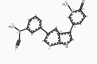 CN(C#N)c1cccc(-c2cnc3[nH]cc(-c4ccc(=O)n(C)c4)c3c2)c1